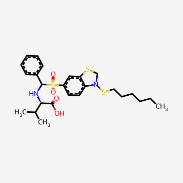 CCCCCCSN1CSc2cc(S(=O)(=O)C(N[C@@H](C(=O)O)C(C)C)c3ccccc3)ccc21